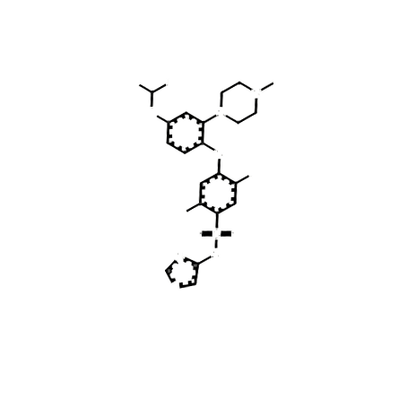 CN1CCN(c2cc(OC(F)F)ccc2Nc2cc(F)c(S(=O)(=O)Nc3cscn3)cc2Cl)CC1